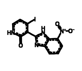 O=c1[nH]ccc(I)c1-c1nc2cccc([N+](=O)[O-])c2[nH]1